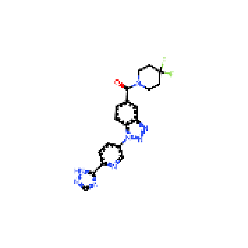 O=C(c1ccc2c(c1)nnn2-c1ccc(-c2ncn[nH]2)nc1)N1CCC(F)(F)CC1